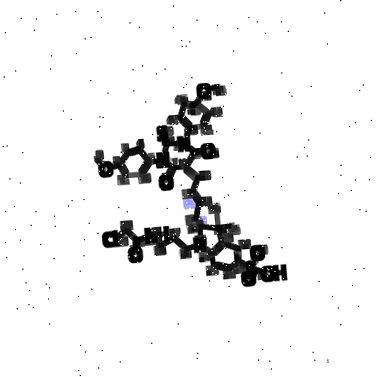 COc1ccc(N2C(=O)C(=C/C=C/C=C3/N(CCCNC(=O)CCl)c4ccc(S(=O)(=O)O)cc4C3(C)C)C(=O)N(c3ccc(OC)cc3)C2=S)cc1